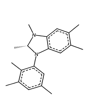 Cc1cc(C)c(C)c(N2c3cc(C)c(C)cc3N(C)[C@H]2C)c1